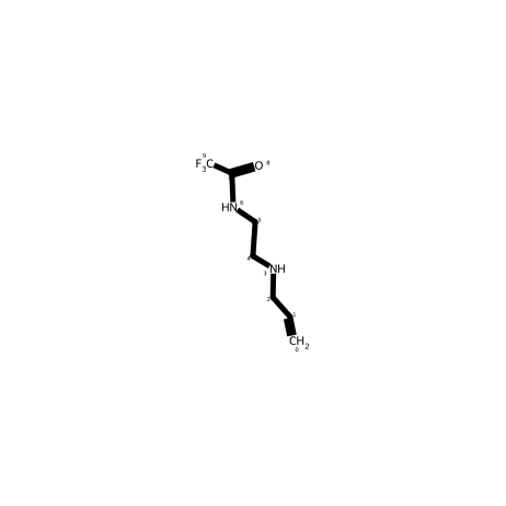 C=CCNCCNC(=O)C(F)(F)F